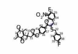 CC1=CC(=O)C(C)=C(C(C)(C)CC(=O)Oc2ccc(C(=O)/C(=C\c3ccc(F)c([N+](=O)[O-])c3)SCc3ccc(F)cc3)cc2)C1=O